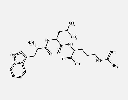 CC(C)C[C@H](NC(=O)[C@@H](N)Cc1c[nH]c2ccccc12)C(=O)N[C@@H](CCCNC(=N)N)C(=O)O